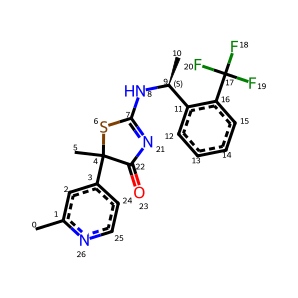 Cc1cc(C2(C)SC(N[C@@H](C)c3ccccc3C(F)(F)F)=NC2=O)ccn1